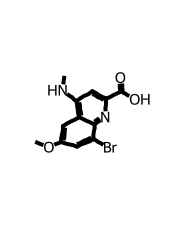 CNc1cc(C(=O)O)nc2c(Br)cc(OC)cc12